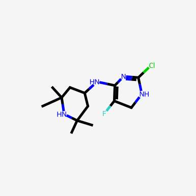 CC1(C)CC(NC2=C(F)CNC(Cl)=N2)CC(C)(C)N1